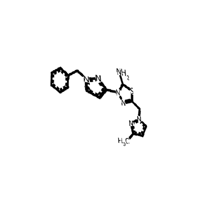 Cc1ccn(CC2=NN(c3ccn(Cc4ccccc4)n3)C(N)S2)n1